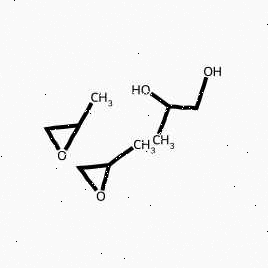 CC(O)CO.CC1CO1.CC1CO1